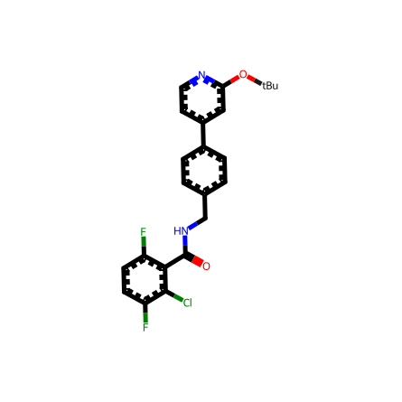 CC(C)(C)Oc1cc(-c2ccc(CNC(=O)c3c(F)ccc(F)c3Cl)cc2)ccn1